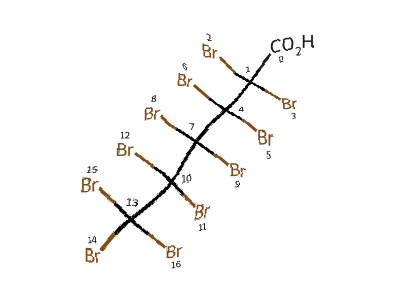 O=C(O)C(Br)(Br)C(Br)(Br)C(Br)(Br)C(Br)(Br)C(Br)(Br)Br